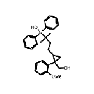 COc1ccccc1C1(CO)CC1CCC(C)(C)[Si](O)(c1ccccc1)c1ccccc1